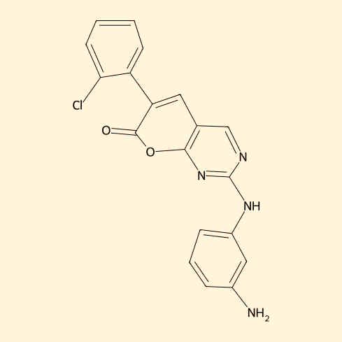 Nc1cccc(Nc2ncc3cc(-c4ccccc4Cl)c(=O)oc3n2)c1